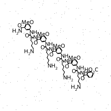 COc1ccc(NC(=O)[C@H](CCCCN)NC(=O)c2cc(NC(=O)[C@H](CCCCCN)NC(=O)c3cc(NC(=O)[C@H](CCCCCN)NC(=O)c4cc(NC(=O)[C@H](CCCCN)NC(=O)c5ccccc5C(=O)O)ccc4OC)ccc3OC)ccc2OC)cc1C(N)=O